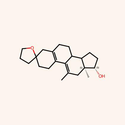 CC1=C2C3=C(CCC2C2CC[C@H](O)[C@@]2(C)C1)CC1(CCCO1)CC3